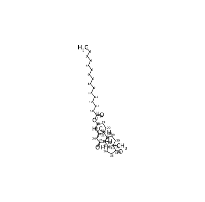 CCCCCCCCCCCCCCCC(=O)O[C@H]1CC[C@@]2(C)C(=CC(=O)[C@@H]3[C@@H]2CC[C@]2(C)C(=O)CC[C@@H]32)C1